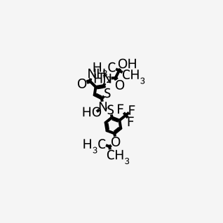 CC(C)Oc1ccc(SN(O)c2cc(C(N)=O)c(NC(=O)C(C)(C)O)s2)c(C(F)(F)F)c1